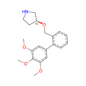 COc1cc(-c2ccccc2CO[C@H]2CCNC2)cc(OC)c1OC